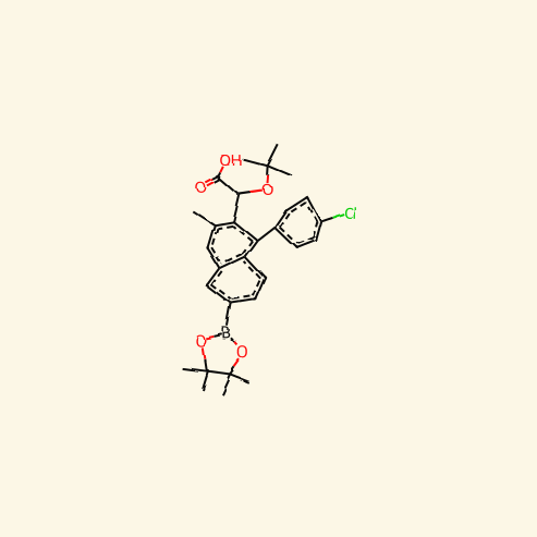 Cc1cc2cc(B3OC(C)(C)C(C)(C)O3)ccc2c(-c2ccc(Cl)cc2)c1C(OC(C)(C)C)C(=O)O